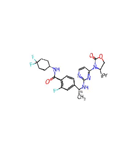 CC(C)C1COC(=O)N1c1ccnc(N[C@@H](C)c2ccc(C(=O)NC3CCC(F)(F)CC3)c(F)c2)n1